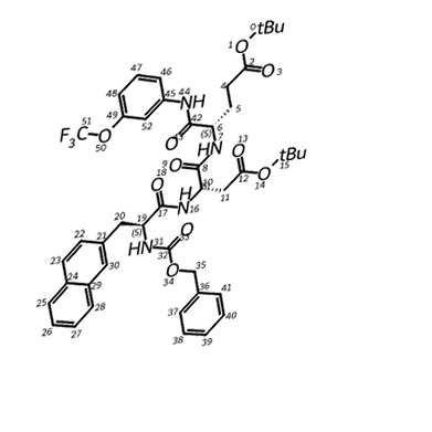 CC(C)(C)OC(=O)CC[C@H](NC(=O)[C@H](CC(=O)OC(C)(C)C)NC(=O)[C@H](Cc1ccc2ccccc2c1)NC(=O)OCc1ccccc1)C(=O)Nc1cccc(OC(F)(F)F)c1